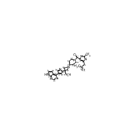 CCN(C)Cc1cc(C(=O)N2CCC(N3CC(CC#N)(n4cc(-c5ncnc6[nH]ccc56)cn4)C3)CC2)nc(C(F)(F)F)n1